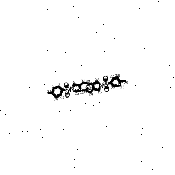 Cc1ccc(S(=O)(=O)n2cc3c(c2)C2Cc4cn(S(=O)(=O)c5ccc(C)cc5)cc4C(C3)O2)cc1